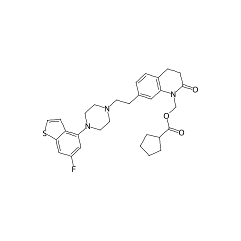 O=C(OCN1C(=O)CCc2ccc(CCN3CCN(c4cc(F)cc5sccc45)CC3)cc21)C1CCCC1